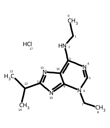 CCNc1ncn(CC)c2nc(C(C)C)nc1-2.Cl